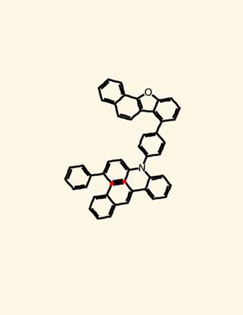 c1ccc(-c2ccc(N(c3ccc(-c4cccc5oc6c7ccccc7ccc6c45)cc3)c3ccccc3-c3ccc4ccccc4c3)cc2)cc1